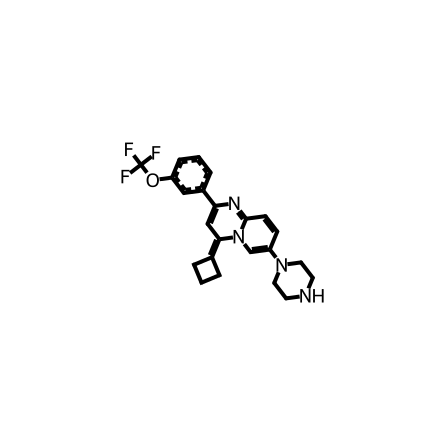 FC(F)(F)Oc1cccc(C2=CC(=C3CCC3)N3C=C(N4CCNCC4)C=CC3=N2)c1